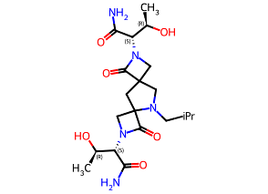 CC(C)CN1CC2(CN([C@H](C(N)=O)[C@@H](C)O)C2=O)CC12CN([C@H](C(N)=O)[C@@H](C)O)C2=O